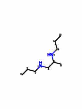 CCCNCC(C)NCCC